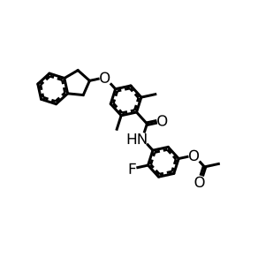 CC(=O)Oc1ccc(F)c(NC(=O)c2c(C)cc(OC3Cc4ccccc4C3)cc2C)c1